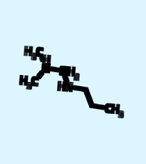 CCCN[SiH2][SiH](C)C